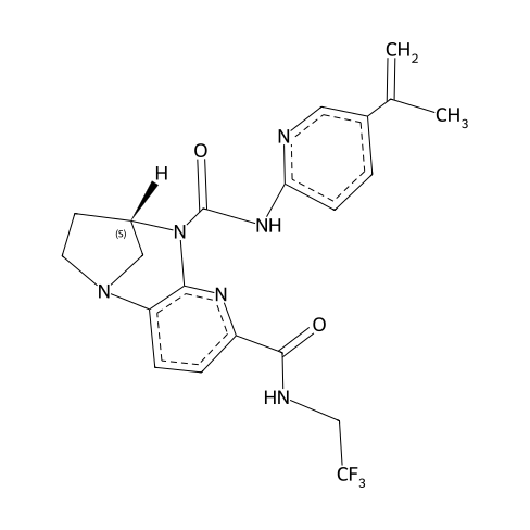 C=C(C)c1ccc(NC(=O)N2c3nc(C(=O)NCC(F)(F)F)ccc3N3CC[C@H]2C3)nc1